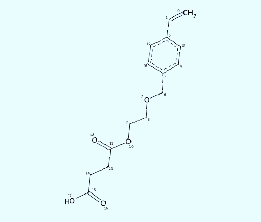 C=Cc1ccc(COCCOC(=O)CCC(=O)O)cc1